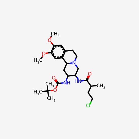 COc1cc2c(cc1OC)C1CC(NC(=O)OC(C)(C)C)C(NC(=O)C(C)CCCl)CN1CC2